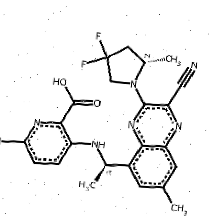 Cc1cc([C@@H](C)Nc2ccc(Cl)nc2C(=O)O)c2nc(N3CC(F)(F)C[C@@H]3C)c(C#N)nc2c1